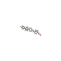 C=CCOc1ccc(/C=C/C2CCC(c3ccc(-c4ccc(C)cc4)c(F)c3F)CC2)c(F)c1F